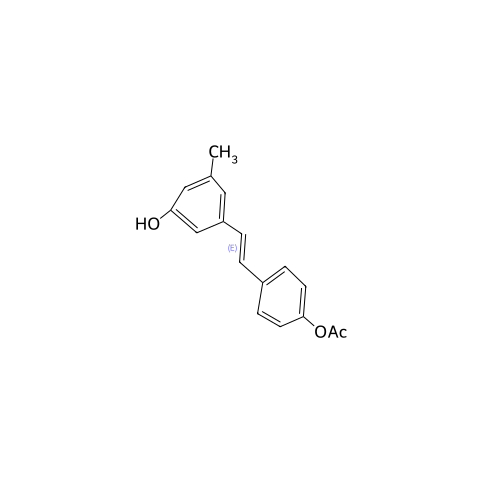 CC(=O)Oc1ccc(/C=C/c2cc(C)cc(O)c2)cc1